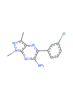 Cc1nn(C)c2nc(N)c(-c3cccc(Cl)c3)nc12